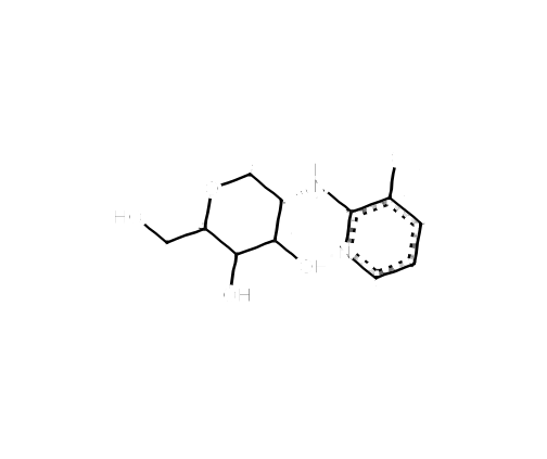 OCC1OC[C@H](Nc2ncccc2C(F)(F)F)C(O)C1O